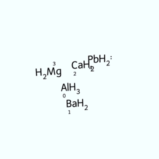 [AlH3].[BaH2].[CaH2].[MgH2].[PbH2]